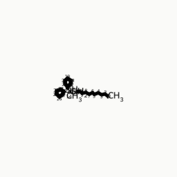 CCCCCCCCCCCC[SiH2]C(C)[SiH](c1ccccc1)c1ccccc1